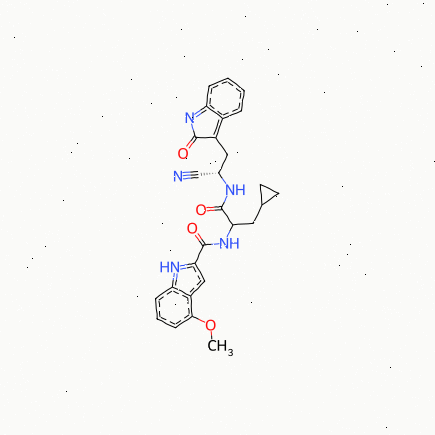 COc1cccc2[nH]c(C(=O)NC(CC3CC3)C(=O)N[C@H](C#N)CC3=c4ccccc4=NC3=O)cc12